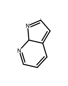 [C]1=NC2N=CC=CC2=C1